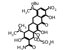 CCCCN(C)c1cc([N+](=O)[O-])c(O)c2c1CC1CC3[C@H](N(C)C)C(O)=C(C(N)=O)C(=O)[C@@]3(OOS(=O)(=O)O)C(O)=C1C2=O